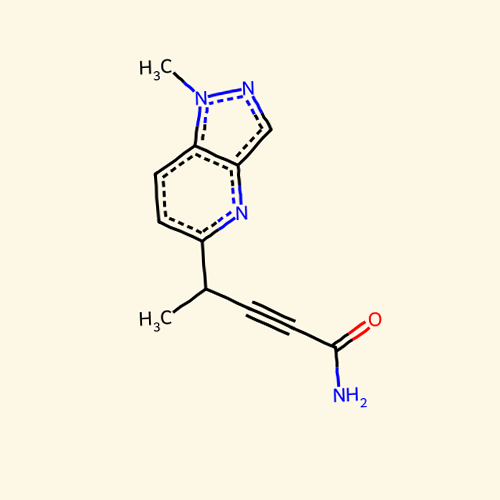 CC(C#CC(N)=O)c1ccc2c(cnn2C)n1